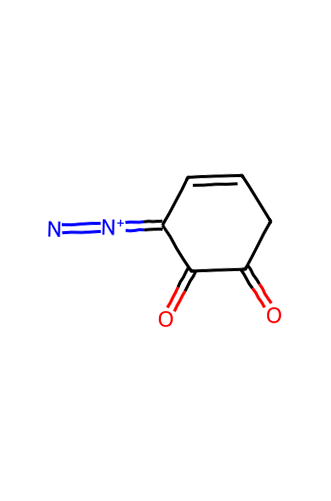 [N-]=[N+]=C1C=CCC(=O)C1=O